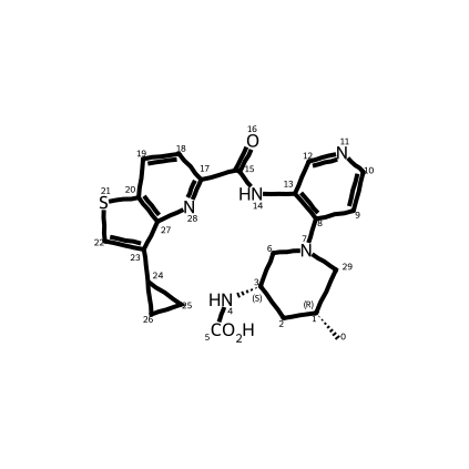 C[C@@H]1C[C@H](NC(=O)O)CN(c2ccncc2NC(=O)c2ccc3scc(C4CC4)c3n2)C1